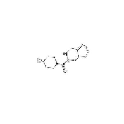 O=C([C@@H]1Cc2ccccc2CN1)N1CCC2(CC1)CC2